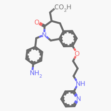 Nc1ccc(CN2Cc3cc(OCCCNc4ccccn4)ccc3CC(CC(=O)O)C2=O)cc1